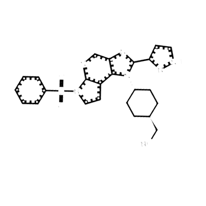 N#CC[C@H]1CC[C@H](n2c(-c3cc[nH]n3)nc3cnc4c(ccn4S(=O)(=O)c4ccccc4)c32)CC1